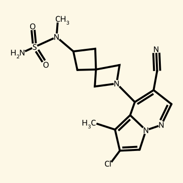 Cc1c(Cl)cn2ncc(C#N)c(N3CC4(CC(N(C)S(N)(=O)=O)C4)C3)c12